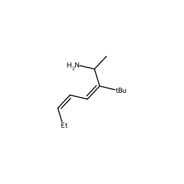 CC/C=C\C=C(/C(C)N)C(C)(C)C